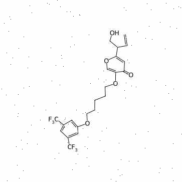 C=CC(CO)c1cc(=O)c(OCCCCCOc2cc(C(F)(F)F)cc(C(F)(F)F)c2)co1